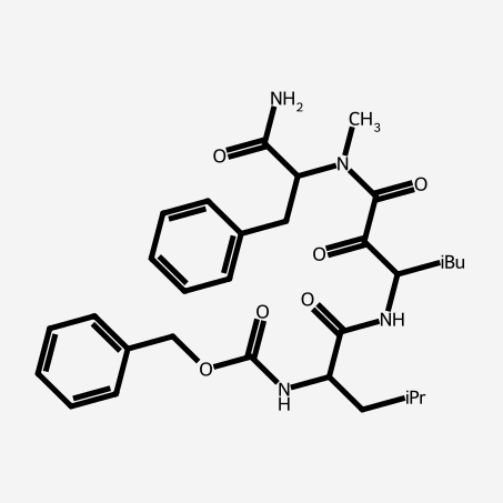 CCC(C)C(NC(=O)C(CC(C)C)NC(=O)OCc1ccccc1)C(=O)C(=O)N(C)C(Cc1ccccc1)C(N)=O